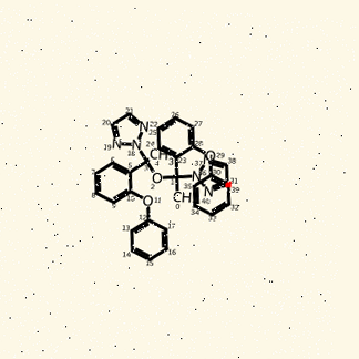 CC(OC(C)(c1ccccc1Oc1ccccc1)n1nccn1)(c1ccccc1Oc1ccccc1)n1nccn1